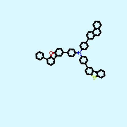 c1ccc(-c2cccc3c2oc2ccc(-c4ccc(N(c5ccc(-c6ccc7c(ccc8ccccc87)c6)cc5)c5ccc(-c6ccc7sc8ccccc8c7c6)cc5)cc4)cc23)cc1